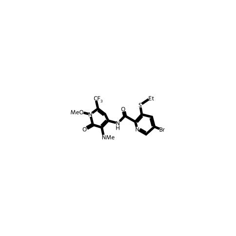 CCSc1cc(Br)cnc1C(=O)Nc1cc(C(F)(F)F)n(OC)c(=O)c1NC